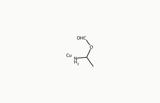 CC(N)OC=O.[Cu]